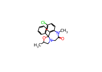 CC1CN2CC(=O)N(C)c3ccc(Cl)cc3C2(c2ccccc2)O1